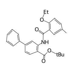 CCOc1ccc(C)cc1C(=O)Nc1cc(-c2ccccc2)ccc1C(=O)OC(C)(C)C